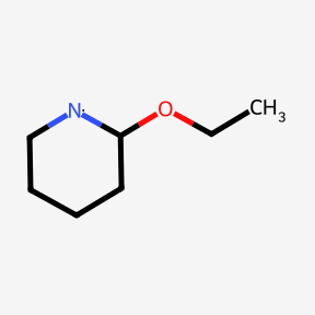 CCOC1CCCC[N]1